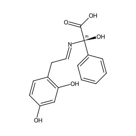 O=C(O)[C@@](O)(N=CCc1ccc(O)cc1O)c1ccccc1